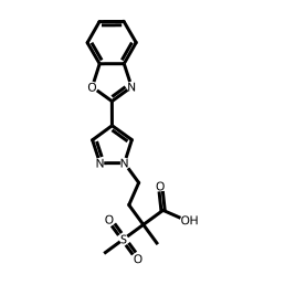 CC(CCn1cc(-c2nc3ccccc3o2)cn1)(C(=O)O)S(C)(=O)=O